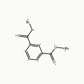 CCCCOC(=O)c1cccc(C(=O)CBr)c1